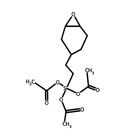 CC(=O)O[Si](CCC1CCC2OC2C1)(OC(C)=O)OC(C)=O